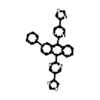 c1ccc(-c2ccc3c(-c4ncc(-c5cocn5)cn4)c4ccccc4c(-c4ncc(-c5cocn5)cn4)c3c2)cc1